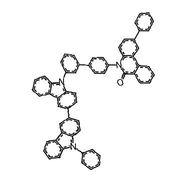 O=c1c2ccccc2c2cc(-c3ccccc3)ccc2n1-c1ccc(-c2cccc(-n3c4ccccc4c4cc(-c5ccc6c(c5)c5ccccc5n6-c5ccccc5)ccc43)c2)cc1